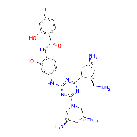 NC[C@@H]1C[C@H](N)CC1c1nc(Nc2ccc(NC(=O)c3ccc(Cl)cc3O)c(O)c2)nc(N2C[C@H](N)C[C@H](N)C2)n1